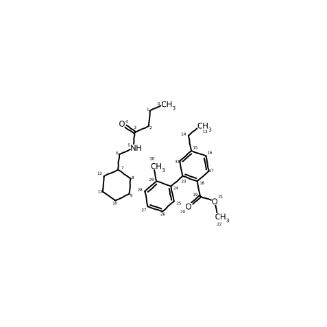 CCCC(=O)NCC1CCCCC1.CCc1ccc(C(=O)OC)c(-c2ccccc2C)c1